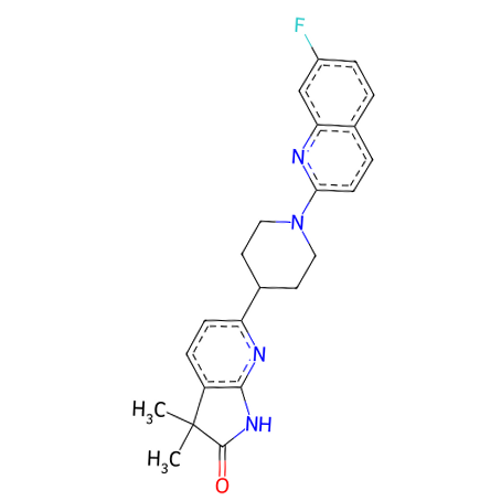 CC1(C)C(=O)Nc2nc(C3CCN(c4ccc5ccc(F)cc5n4)CC3)ccc21